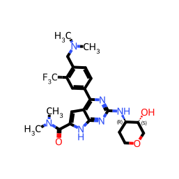 CN(C)Cc1ccc(-c2nc(N[C@@H]3CCOC[C@H]3O)nc3[nH]c(C(=O)N(C)C)cc23)cc1C(F)(F)F